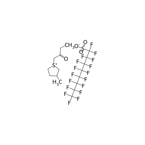 CCC(=O)C[S+]1CCC(C)C1.O=S(=O)([O-])C(F)(F)C(F)(F)C(F)(F)C(F)(F)C(F)(F)C(F)(F)C(F)(F)C(F)(F)F